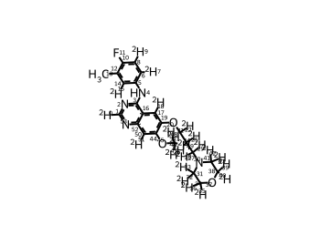 [2H]c1nc(Nc2c([2H])c([2H])c(F)c(C)c2[2H])c2c([2H])c(OC([2H])([2H])C([2H])([2H])C([2H])([2H])N3C([2H])([2H])C([2H])([2H])OC([2H])([2H])C3([2H])[2H])c(OC([2H])([2H])[2H])c([2H])c2n1